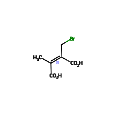 C/C(C(=O)O)=C(\CBr)C(=O)O